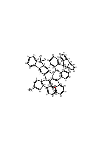 CC(C)(C)c1ccc(N2c3cc4c(cc3B3c5c2cc2ccccc2c5-c2cccc5c2N3c2ccccc2C52c3ccccc3-c3ccccc32)C(C)(C)c2ccccc2-4)c(-c2ccccc2)c1